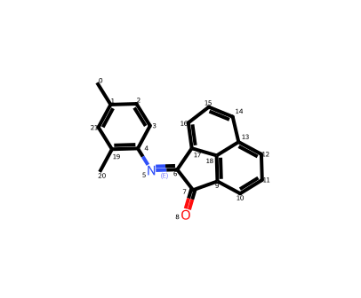 Cc1ccc(/N=C2/C(=O)c3cccc4cccc2c34)c(C)c1